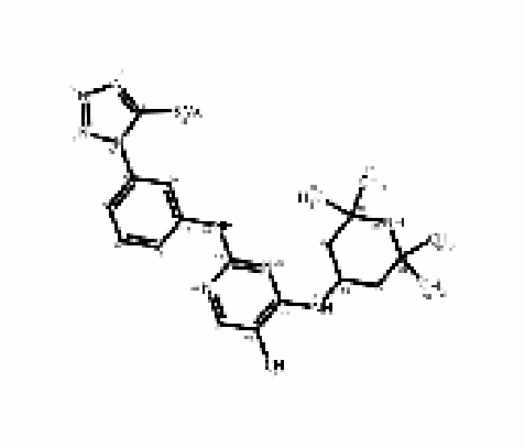 CSc1nnnn1-c1cccc(Nc2ncc(C#N)c(NC3CC(C)(C)NC(C)(C)C3)n2)c1